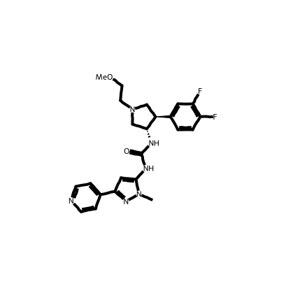 COCCN1C[C@@H](NC(=O)Nc2cc(-c3ccncc3)nn2C)[C@H](c2ccc(F)c(F)c2)C1